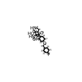 O=C(NO)C1(O)CNCCC1S(=O)(=O)c1ccc(OCc2ccc(F)cc2)cc1